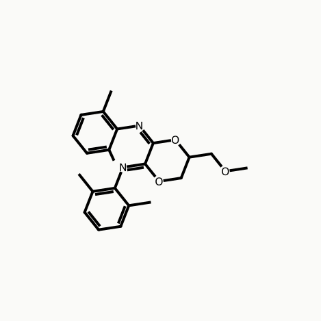 COCC1COC(=N\c2c(C)cccc2C)/C(=N\c2c(C)cccc2C)O1